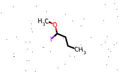 CCCC(I)OC